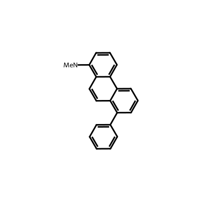 CNc1cccc2c1ccc1c(-c3ccccc3)cccc12